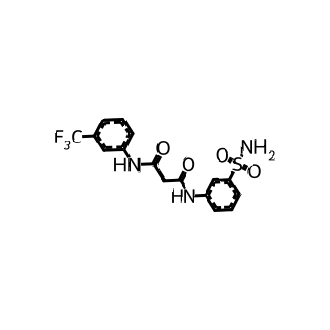 NS(=O)(=O)c1cccc(NC(=O)CC(=O)Nc2cccc(C(F)(F)F)c2)c1